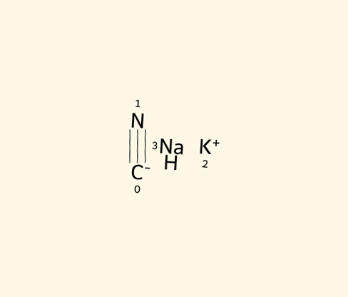 [C-]#N.[K+].[NaH]